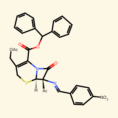 CC(=O)OCC1=C(C(=O)OC(c2ccccc2)c2ccccc2)N2C(=O)[C@@](N=Cc3ccc([N+](=O)[O-])cc3)(C(C)=O)[C@H]2SC1